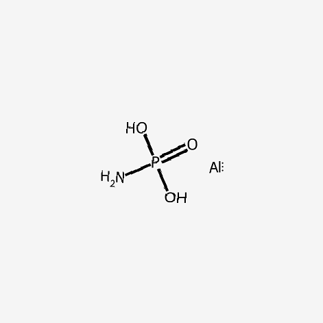 NP(=O)(O)O.[Al]